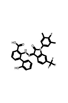 Cc1cc(N2C(=O)C(=NNc3c(C(=O)O)cccc3-c3ccccc3O)c3ccc(C(F)(F)F)cc32)cc(C)c1F